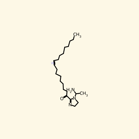 CCCCCCCC/C=C\CCCCCCCC(=O)C1=NCCN1C(C)N